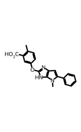 Cc1ccc(Oc2nc3cc(-c4ccccc4)n(C)c3[nH]2)cc1C(=O)O